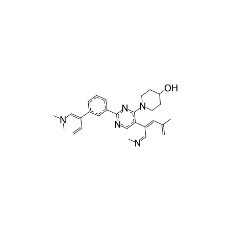 C=C/C(=C\N(C)C)c1cccc(-c2ncc(C(/C=N\C)=C/C(=C)C)c(N3CCC(O)CC3)n2)c1